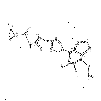 CSCc1c(F)c(Cl)c(-c2cn3cc(NC(=O)[C@@H]4C[C@@H]4F)nc3cn2)c2cn[nH]c12